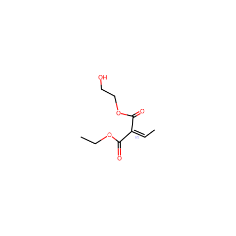 C/C=C(/C(=O)OCC)C(=O)OCCO